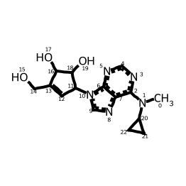 CN(c1ncnc2c1ncn2C1C=C(CO)C(O)C1O)C1CC1